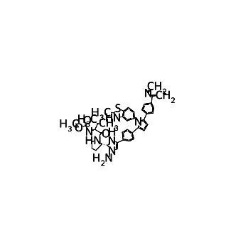 C=NC(=C)c1ccc(-c2ccc(-c3ccc(C4=CN(N)C([C@@H]5CCCN5C(=O)[C@@H](NC(=O)OC)C(C)C)N4)cc3)n2-c2ccc3c(c2)NC(C)S3)cc1